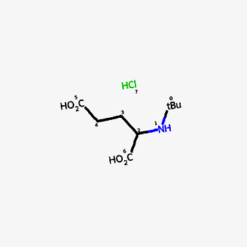 CC(C)(C)NC(CCC(=O)O)C(=O)O.Cl